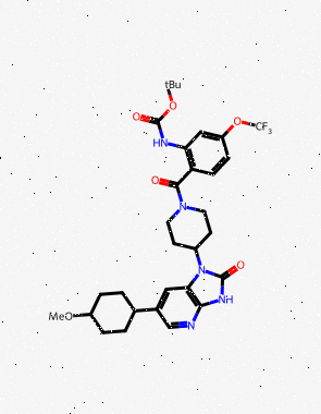 COC1CCC(c2cnc3[nH]c(=O)n(C4CCN(C(=O)c5ccc(OC(F)(F)F)cc5NC(=O)OC(C)(C)C)CC4)c3c2)CC1